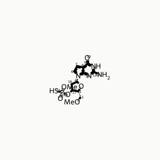 COC[C@H]1O[C@@H](n2ccc3c(=O)[nH]c(N)nc32)CC1OP(=O)(S)OC